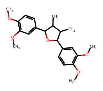 COc1ccc(C2OC(c3ccc(OC)c(OC)c3)C(C)C2C)cc1OC